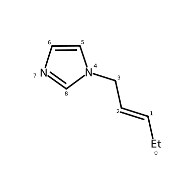 CC/C=C/Cn1ccnc1